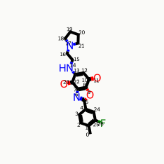 Cc1ccc(-c2nc3c(o2)C(=O)C=C(NCCN2CCCC2)C3=O)cc1F